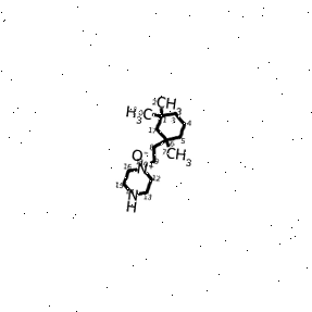 CC1(C)CCCC(C)(CC[N+]2([O-])CCNCC2)C1